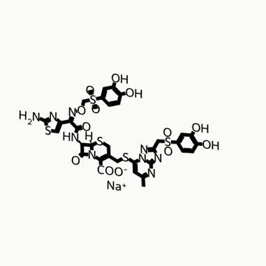 Cc1cc(SCC2=C(C(=O)[O-])N3C(=O)[C@@H](NC(=O)/C(=N\OCS(=O)(=O)c4ccc(O)c(O)c4)c4csc(N)n4)[C@H]3SC2)n2nc(CS(=O)(=O)c3ccc(O)c(O)c3)nc2n1.[Na+]